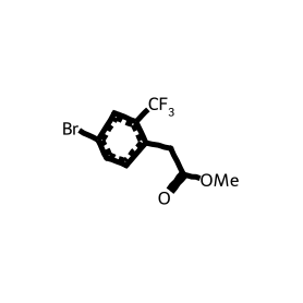 COC(=O)Cc1ccc(Br)cc1C(F)(F)F